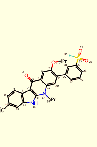 CC(C)Oc1cc2c(=O)c3c4ccc(C#N)cc4[nH]c3n(C(C)C)c2cc1-c1cccc(S(=O)(=O)F)c1